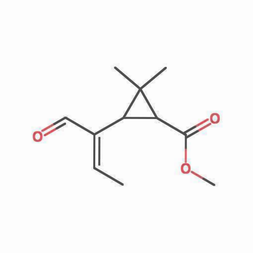 C/C=C(/C=O)C1C(C(=O)OC)C1(C)C